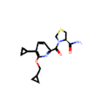 NC(=O)[C@@H]1CSCN1C(=O)c1ccc(C2CC2)c(OCC2CC2)n1